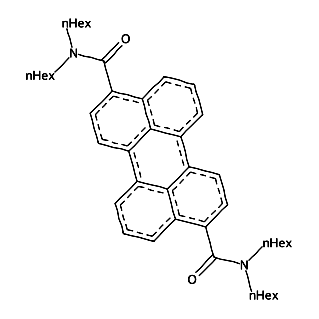 CCCCCCN(CCCCCC)C(=O)c1ccc2c3cccc4c(C(=O)N(CCCCCC)CCCCCC)ccc(c5cccc1c52)c43